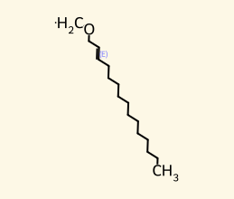 [CH2]OC/C=C/CCCCCCCCCCCC